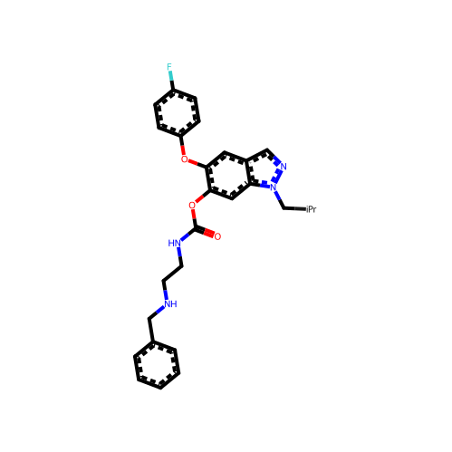 CC(C)Cn1ncc2cc(Oc3ccc(F)cc3)c(OC(=O)NCCNCc3ccccc3)cc21